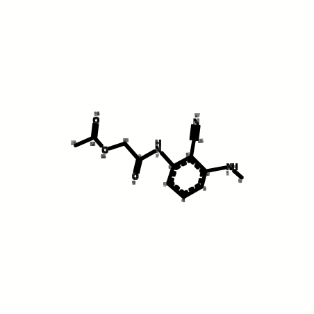 CNc1cccc(NC(=O)COC(C)=O)c1C#N